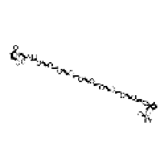 CC(C)C(=O)OCC1(SSCCOCCOCCOCCOCCOCCOCCOCCOCCOCCOCCNC(=O)CN2C(=O)C=CC2=O)CCC1